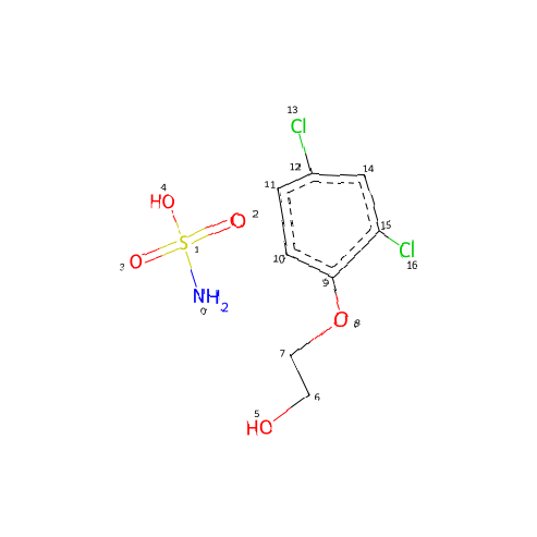 NS(=O)(=O)O.OCCOc1ccc(Cl)cc1Cl